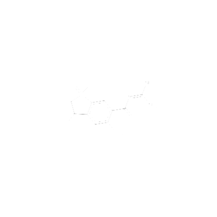 Cc1cc2c(cc1C(=O)N=C(N)N)S(=O)(=O)CC2C